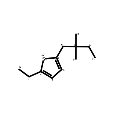 CCc1ccc(CC(C)(C)CC)s1